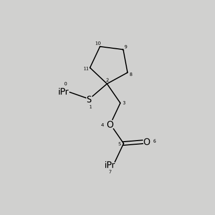 CC(C)SC1(COC(=O)C(C)C)CCCC1